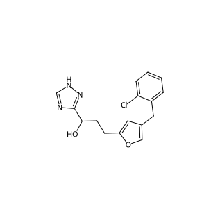 OC(CCc1cc(Cc2ccccc2Cl)co1)c1nc[nH]n1